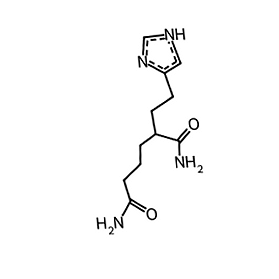 NC(=O)CCCC(CCc1c[nH]cn1)C(N)=O